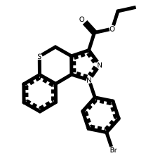 CCOC(=O)c1nn(-c2ccc(Br)cc2)c2c1CSc1ccccc1-2